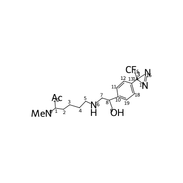 CNC(CCCCNCC(O)c1ccc(C2(C(F)(F)F)N=N2)cc1)C(C)=O